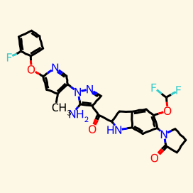 Cc1cc(Oc2ccccc2F)ncc1-n1ncc(C(=O)C2Cc3cc(OC(F)F)c(N4CCCC4=O)cc3N2)c1N